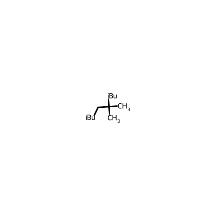 [CH2]CC(C)CC(C)(C)C(C)CC